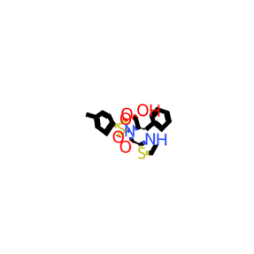 Cc1ccc(S(=O)(=O)N(C(=O)[C@H]2NCCS2)[C@@H](Cc2ccccc2)C(=O)O)cc1